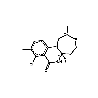 C[C@@H]1CN2c3ccc(Cl)c(Cl)c3C(=O)N[C@H]2CCN1